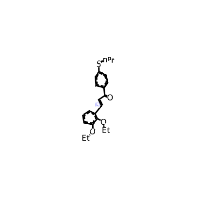 CCCSc1ccc(C(=O)/C=C/c2cccc(OCC)c2OCC)cc1